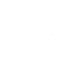 CC(CCO[Si](c1ccccc1)(c1ccccc1)C(C)(C)C)C(=O)O